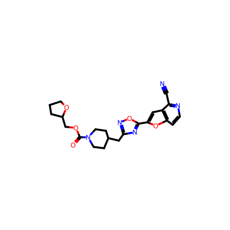 N#Cc1nccc2oc(-c3nc(CC4CCN(C(=O)OCC5CCCO5)CC4)no3)cc12